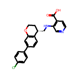 O=C(O)c1ccncc1NC[C@H]1CCOc2cc(-c3ccc(Cl)cc3)ccc21